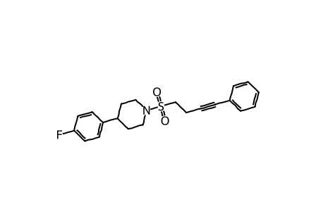 O=S(=O)(CCC#Cc1ccccc1)N1CCC(c2ccc(F)cc2)CC1